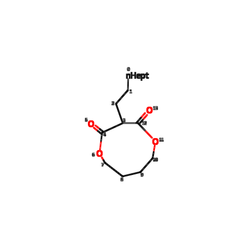 CCCCCCCCCC1C(=O)OCCCCOC1=O